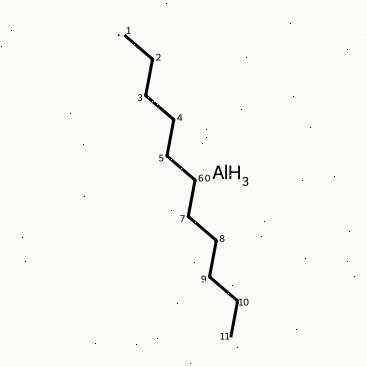 [AlH3].[CH2]CCCCCCCCCC